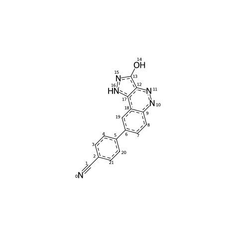 N#Cc1ccc(-c2ccc3nnc4c(O)n[nH]c4c3c2)cc1